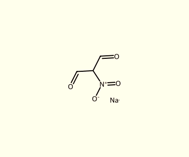 O=CC(C=O)[N+](=O)[O-].[Na]